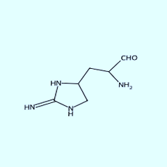 N=C1NCC(CC(N)C=O)N1